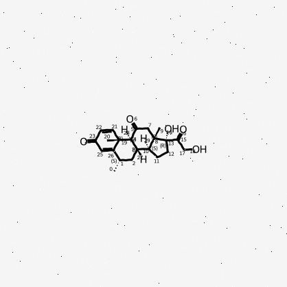 C[C@H]1C[C@@H]2[C@H](C(=O)C[C@@]3(C)[C@H]2CC[C@]3(O)C(=O)CO)[C@@]2(C)C=CC(=O)C=C12